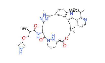 CCn1c(-c2cccnc2[C@H](C)OC)c2c3cc(ccc31)-c1nc(nn1C)C[C@H](NC(=O)[C@@H](COC1CNC1)C(C)C)C(=O)N1CCC[C@H](N1)C(=O)OCC(C)(C)C2